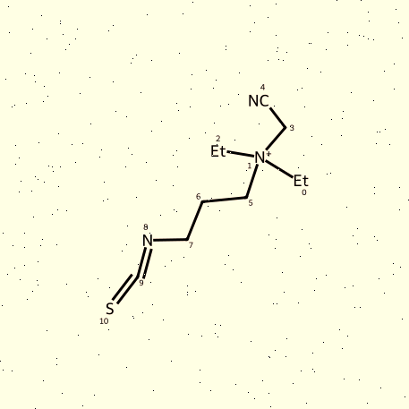 CC[N+](CC)(CC#N)CCCN=C=S